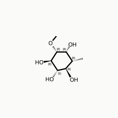 CO[C@@H]1[C@H](O)[C@H](C)[C@@H](O)[C@H](O)[C@H]1O